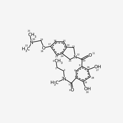 CCCN(C)C(=O)c1cc(C(=O)N2Cc3ccc(OCN(C)C)cc3C2)c(O)cc1O